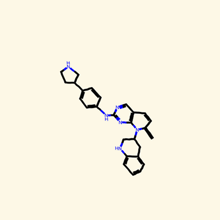 C=C1C=Cc2cnc(Nc3ccc(C4CCNC4)cc3)nc2N1C1CNc2ccccc2C1